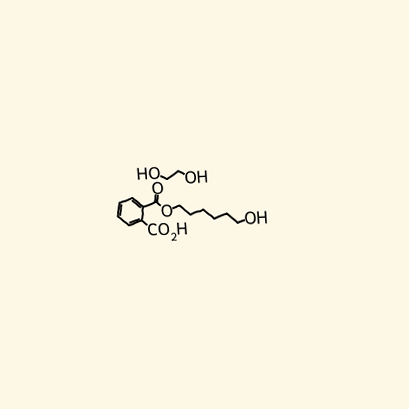 O=C(O)c1ccccc1C(=O)OCCCCCCO.OCCO